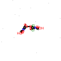 COc1cc2c(cc1OCCCOc1c(Cl)c3c(c(Cl)c1OC)CN(C(=O)C[C@H](C)C(=O)O)C3)CN(C(=O)C[C@H](C)C(=O)O)C2